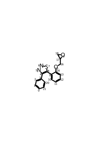 c1ccc(-c2nnsc2-c2ccccc2OCC2CO2)cc1